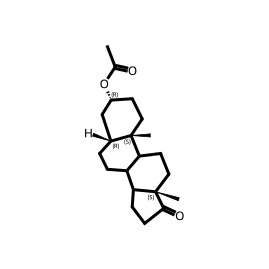 CC(=O)O[C@@H]1CC[C@]2(C)C3CC[C@]4(C)C(=O)CCC4C3CC[C@@H]2C1